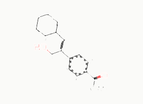 COC(=O)c1ccc(C(=CC2CCCCC2)CO)cc1